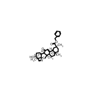 C[C@]1(C(=O)OCc2ccccc2)CC[C@]2(C)CC[C@]3(C)C(=CC(=O)[C@@H]4[C@@]5(C)CC[C@H](O)[C@@]6(C)C=N[C@]65CC[C@]43C)[C@@H]2C1